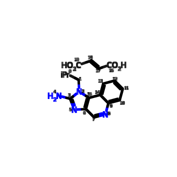 CC(C)Cn1c(N)nc2cnc3ccccc3c21.O=C(O)C=CC(=O)O